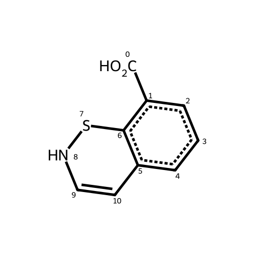 O=C(O)c1cccc2c1SNC=C2